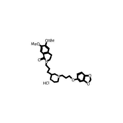 COc1cc2c(cc1OC)C(=O)N(CCCC1CCCN(CCCOc3ccc4c(c3)OCO4)C1)CC2.Cl